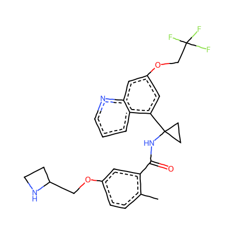 Cc1ccc(OCC2CCN2)cc1C(=O)NC1(c2cc(OCC(F)(F)F)cc3ncccc23)CC1